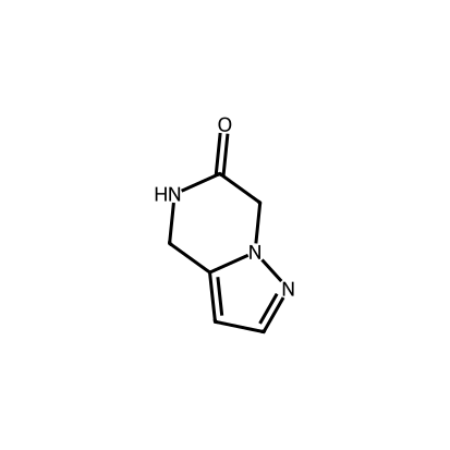 O=C1Cn2nccc2CN1